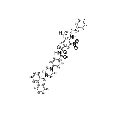 C[C@H](CSc1ccccc1)Nc1ccc(S(=O)(=O)NC(=O)c2ccc(N3CCN(Cc4ccccc4-c4ccccc4)CC3)cc2)cc1[N+](=O)[O-]